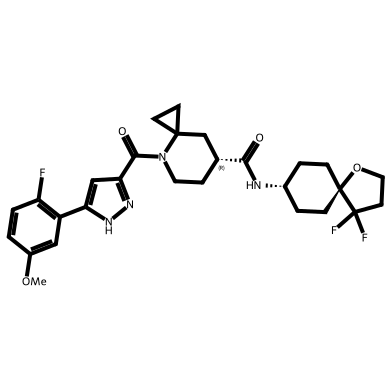 COc1ccc(F)c(-c2cc(C(=O)N3CC[C@@H](C(=O)N[C@H]4CC[C@@]5(CC4)OCCC5(F)F)CC34CC4)n[nH]2)c1